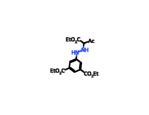 CCOC(=O)c1cc(NNC(C(C)=O)C(=O)OCC)cc(C(=O)OCC)c1